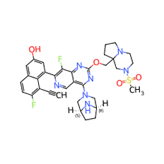 C#Cc1c(F)ccc2cc(O)cc(-c3ncc4c(N5C[C@H]6CC[C@@H](C5)N6)nc(OCC56CCCN5CCN(S(C)(=O)=O)C6)nc4c3F)c12